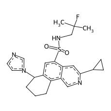 CC(C)(F)CNS(=O)(=O)c1cc2c(c3cnc(C4CC4)cc13)CCCC2n1ccnc1